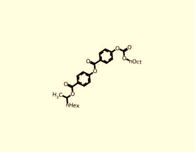 CCCCCCCCOC(=O)Oc1ccc(C(=O)Oc2ccc(C(=O)OC(C)CCCCCC)cc2)cc1